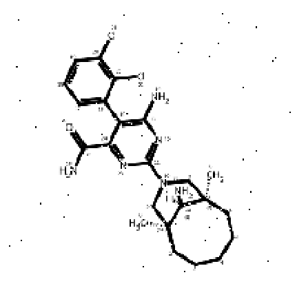 C[C@]12CCCCC[C@](C)(CN(c3nc(N)c(-c4cccc(Cl)c4Cl)c(C(N)=O)n3)C1)[C@@H]2N